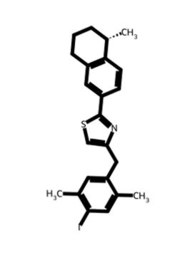 Cc1cc(Cc2csc(-c3ccc4c(c3)CCC[C@@H]4C)n2)c(C)cc1I